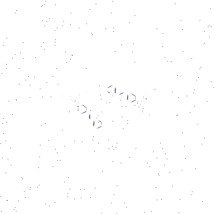 CC1(N(CCO)CCO)C=CC(/C=C/c2cccc[n+]2CCSSCC[n+]2ccccc2/C=C/c2ccc(N(CCO)CCO)cc2)=CC1